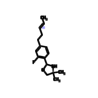 C/C=C/CCc1ccc(C2NC(C)(C)CO2)c(F)c1